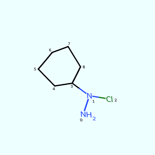 NN(Cl)C1CCCCC1